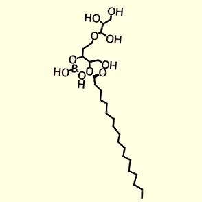 CCCCCCCCCCCCCCCCCC(=O)OC(CO)C(CCOC(O)C(O)CO)OB(O)O